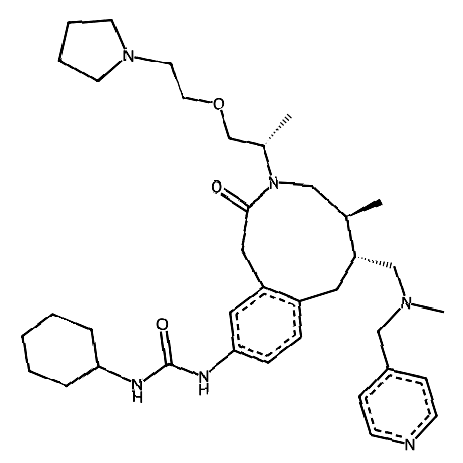 C[C@@H]1CN([C@@H](C)COCCN2CCCC2)C(=O)Cc2cc(NC(=O)NC3CCCCC3)ccc2C[C@H]1CN(C)Cc1ccncc1